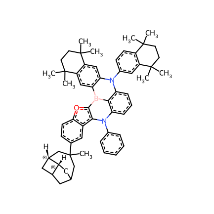 CC1(C)CCC(C)(C)c2cc(N3c4cc5c(cc4B4c6oc7ccc(C8(C)CC9CC%10C[C@H](C8)[C@@H]%10C9)cc7c6N(c6ccccc6)c6cccc3c64)C(C)(C)CCC5(C)C)ccc21